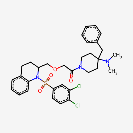 CN(C)C1(Cc2ccccc2)CCN(C(=O)COCC2CCc3ccccc3N2S(=O)(=O)c2ccc(Cl)c(Cl)c2)CC1